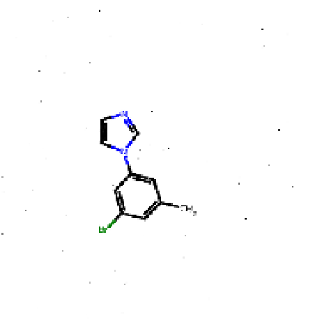 Cc1cc(Br)cc(-n2ccnc2)c1